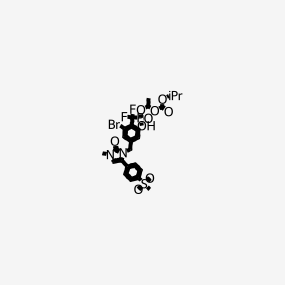 CC(C)OC(=O)OC(C)OP(=O)(O)C(F)(F)c1ccc(Cn2c(-c3ccc(S(C)(=O)=O)cc3)cn(C)c2=O)cc1Br